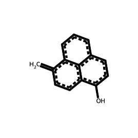 C=c1ccc2c(O)ccc3cccc1c32